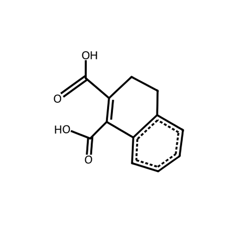 O=C(O)C1=C(C(=O)O)c2ccccc2CC1